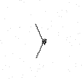 CCCCCCCCCCCCCCCC1N(CCCCCCCCCCCCC)C=CN1C(C)C